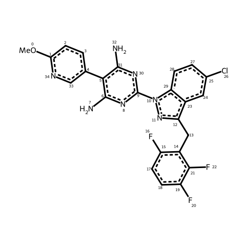 COc1ccc(-c2c(N)nc(-n3nc(Cc4c(F)ccc(F)c4F)c4cc(Cl)ccc43)nc2N)cn1